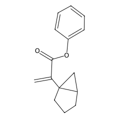 C=C(C(=O)Oc1ccccc1)C12CCCC1C2